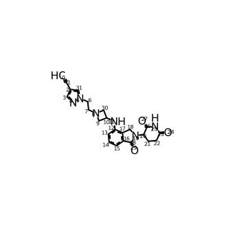 C#Cc1cnn(CCN2CC(Nc3cccc4c3CN(C3CCC(=O)NC3=O)C4=O)C2)c1